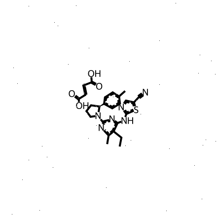 CCc1c(C)nc(N2CCC[C@H]2c2ccc(C)cc2)nc1Nc1ncc(C#N)s1.O=C(O)C=CC(=O)O